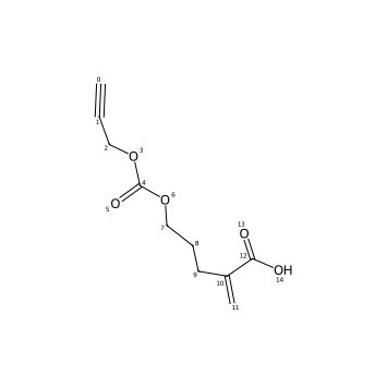 C#CCOC(=O)OCCCC(=C)C(=O)O